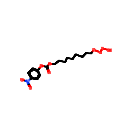 O=C(OCCCCCCCCCOOOO)Oc1ccc([N+](=O)[O-])cc1